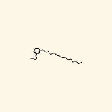 [CH2]Oc1cccc(CCCCCCCCCCCCCCC)c1